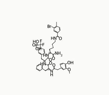 COc1cc(CC(=O)N[C@@H](Cc2ccccc2)C(=O)N[C@@H](Cc2ccc(C(F)(F)P(=O)(O)O)cc2)C(=O)N[C@@H](CCCCNC(=O)c2ccc(C)c(Br)c2)C(N)=O)ccc1O